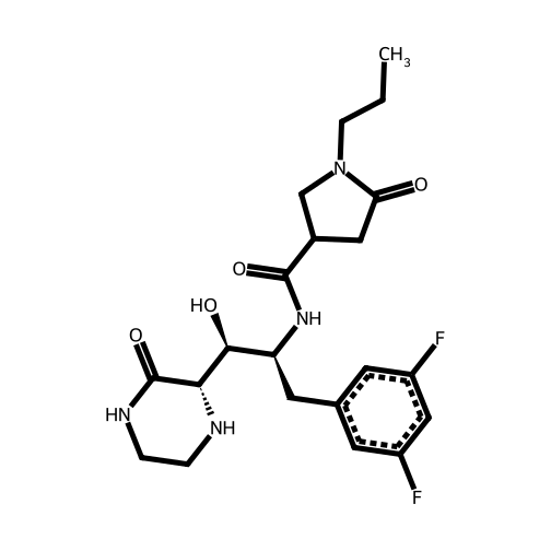 CCCN1CC(C(=O)N[C@@H](Cc2cc(F)cc(F)c2)[C@H](O)[C@@H]2NCCNC2=O)CC1=O